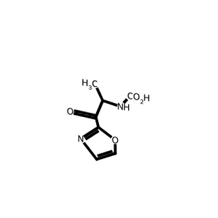 CC(NC(=O)O)C(=O)c1ncco1